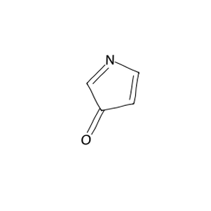 O=C1C=CN=C1